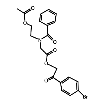 CC(=O)OCCN(CC(=O)OCC(=O)c1ccc(Br)cc1)C(=O)c1ccccc1